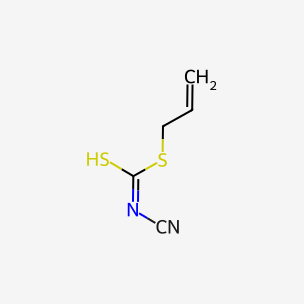 C=CCSC(S)=NC#N